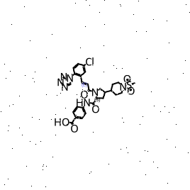 CS(=O)(=O)N1CCC(C2C[C@@H](C(=O)Nc3ccc(C(=O)O)cc3)N(C(=O)/C=C/c3cc(Cl)ccc3-n3cnnn3)C2)CC1